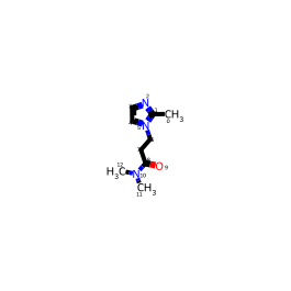 Cc1n[c]cn1CCC(=O)N(C)C